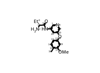 CC[C@@H](N)C(=O)Nc1cncc(Oc2ccc(C)c(OC)c2)c1